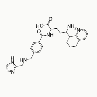 NC(CC[C@@H](NC(=O)c1ccc(CNCc2ncc[nH]2)cc1)C(=O)O)C1CCCc2cccnc21